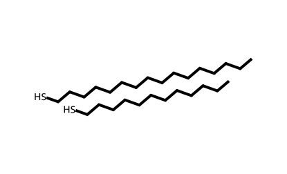 CCCCCCCCCCCCCCCCS.CCCCCCCCCCCCS